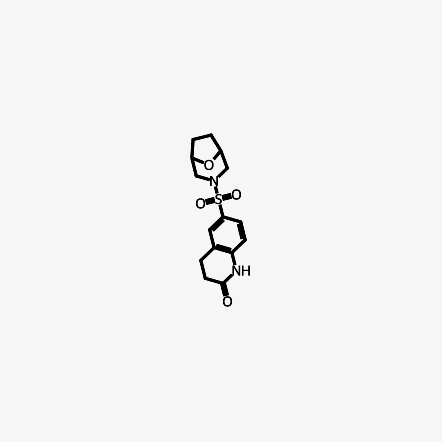 O=C1CCc2cc(S(=O)(=O)N3CC4CCC(C3)O4)ccc2N1